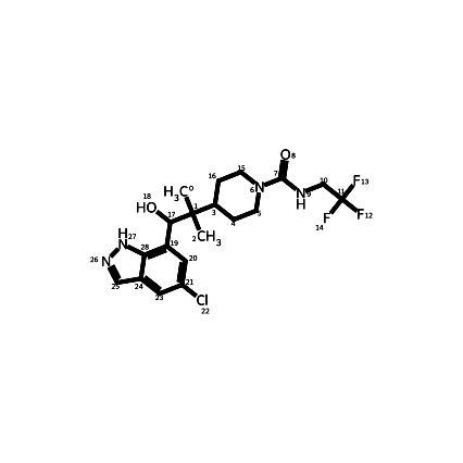 CC(C)(C1CCN(C(=O)NCC(F)(F)F)CC1)C(O)c1cc(Cl)cc2cn[nH]c12